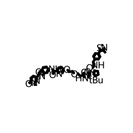 Cc1ncsc1-c1ccc(CNC(=O)[C@@H]2CCCN2C(=O)[C@@H](NC(=O)CCOCCOc2ccc(C(=O)Nc3ccc4oc(-c5ccc(=O)n(C)n5)nc4c3)nc2)C(C)(C)C)cc1